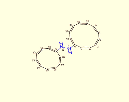 C1=C\C=C/C=C\C(NNc2ccccccccc2)=C/C=C\C=C/1